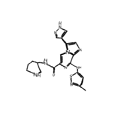 Cc1cc(Nc2nc(C(=O)NC3CCCNC3)cn3c(-c4cn[nH]c4)cnc23)sn1